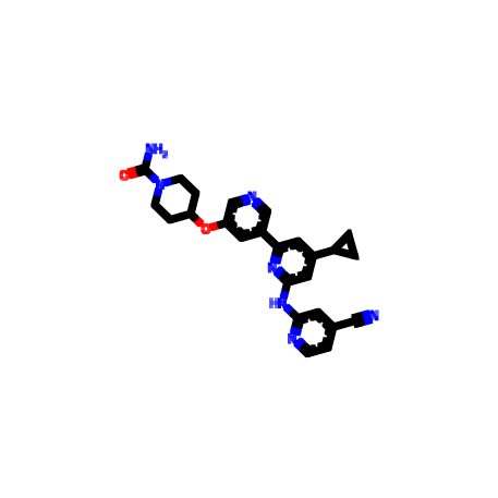 N#Cc1ccnc(Nc2cc(C3CC3)cc(-c3cncc(OC4CCN(C(N)=O)CC4)c3)n2)c1